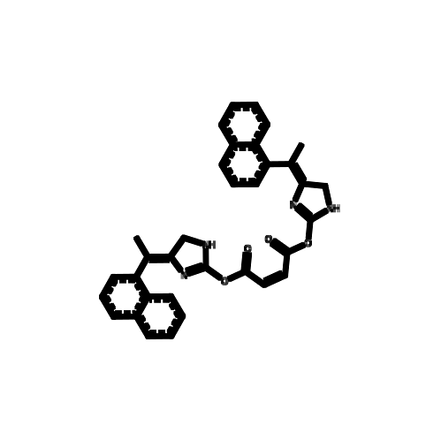 CC(=C1CNC(OC(=O)/C=C\C(=O)OC2=NC(=C(C)c3cccc4ccccc34)CN2)=N1)c1cccc2ccccc12